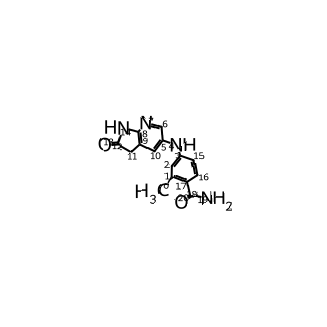 Cc1cc(Nc2cnc3c(c2)CC(=O)N3)ccc1C(N)=O